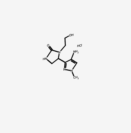 Cl.Cn1cc(N)c(C2CNC(=O)N2CCO)n1